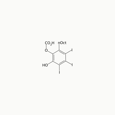 CCCCCCCCc1c(I)c(I)c(I)c(O)c1OC(=O)O